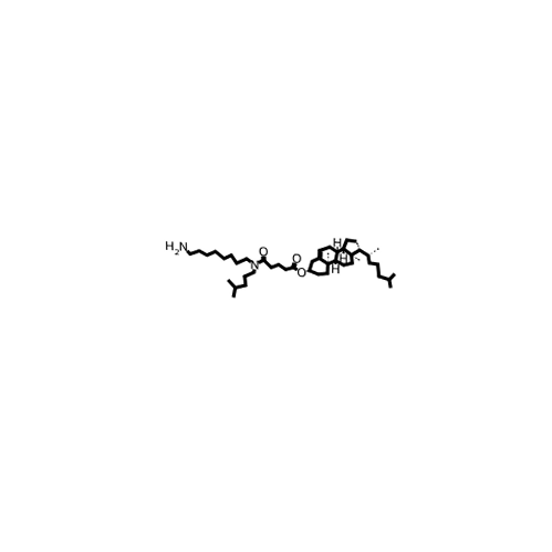 CC(C)CCC[C@@H](C)[C@H]1CC[C@H]2[C@@H]3CC=C4C[C@@H](OC(=O)CCCC(=O)N(CCCCCCCCN)CCCC(C)C)CC[C@]4(C)[C@H]3CC[C@]12C